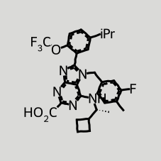 Cc1ccc(Cn2c(-c3cc(C(C)C)ccc3OC(F)(F)F)nc3nc(C(=O)O)nc(N[C@H](C)C4CCC4)c32)cc1F